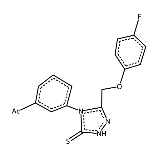 CC(=O)c1cccc(-n2c(COc3ccc(F)cc3)n[nH]c2=S)c1